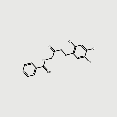 N=C(NOC(=O)COc1cc(Cl)c(Cl)cc1Cl)c1ccncc1